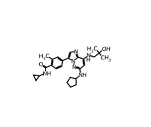 Cc1cc(-c2cnc3c(NCC(C)(C)O)cc(NC4CCCC4)nn23)ccc1C(=O)NC1CC1